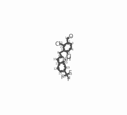 O=Cc1ccc(Cl)c(Cc2cc3ccc(C(F)(F)F)cc3[nH]2)c1Cl